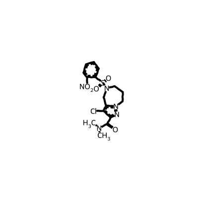 CN(C)C(=O)c1nn2c(c1Cl)CN(S(=O)(=O)c1ccccc1[N+](=O)[O-])CCC2